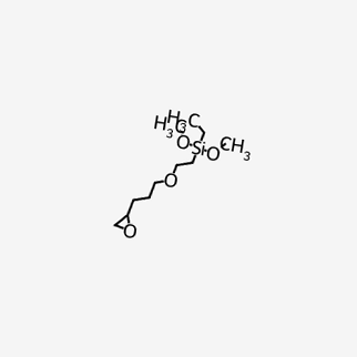 CC[Si](CCOCCCC1CO1)(OC)OC